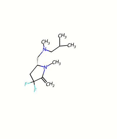 C=C1N(C)[C@@H](CN(C)CC(C)C)CC1(F)F